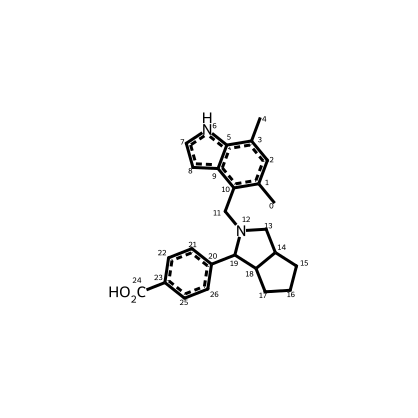 Cc1cc(C)c2[nH]ccc2c1CN1CC2CCCC2C1c1ccc(C(=O)O)cc1